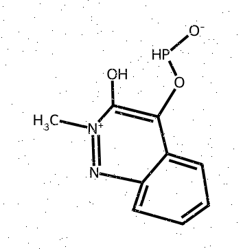 C[n+]1nc2ccccc2c(OP[O-])c1O